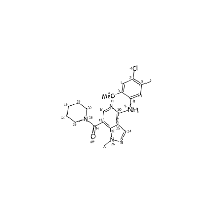 COc1cc(Cl)c(C)cc1Nc1ncc(C(=O)N2CCCCC2)c2c1ccn2C